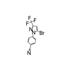 N#Cc1ccc(-n2nc(C(F)(F)F)cc2Br)cc1